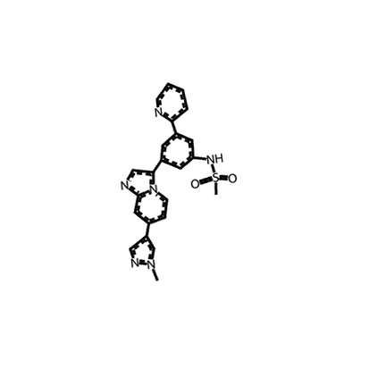 Cn1cc(-c2ccn3c(-c4cc(NS(C)(=O)=O)cc(-c5ccccn5)c4)cnc3c2)cn1